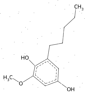 CCCCCc1cc(O)cc(OC)c1O